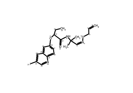 C=CCO/N=C\C(C)(C)NC(=O)C(CC)Oc1ccc2ncc(I)cc2c1